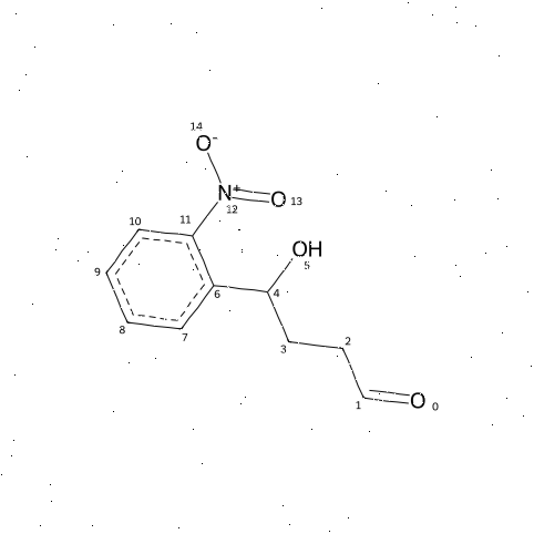 O=CCCC(O)c1ccccc1[N+](=O)[O-]